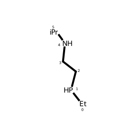 CCPCCNC(C)C